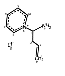 C=CCC(N)[n+]1ccccc1.[Cl-]